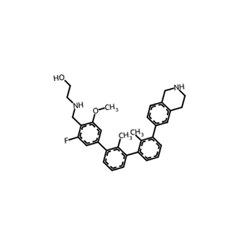 COc1cc(-c2cccc(-c3cccc(-c4ccc5c(c4)CCNC5)c3C)c2C)cc(F)c1CNCCO